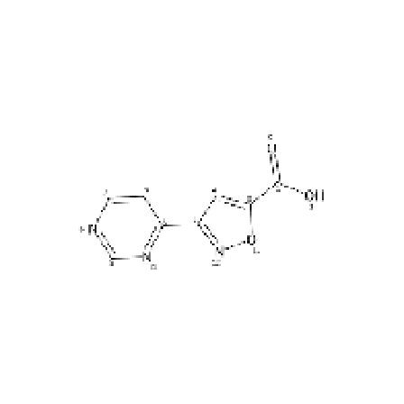 O=C(O)c1cc(-c2ccncn2)no1